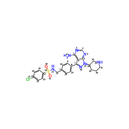 Nc1ncnc2c1c(-c1ccc(CNS(=O)(=O)c3ccc(Cl)cc3)cc1)nn2[C@@H]1CCCNC1